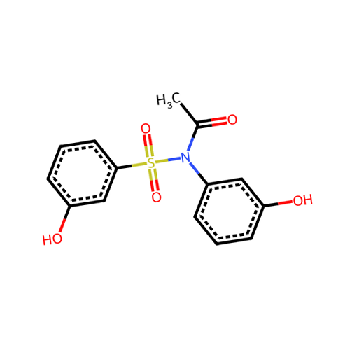 CC(=O)N(c1cccc(O)c1)S(=O)(=O)c1cccc(O)c1